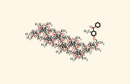 Cc1cc(OC[Si](C)(C)O[Si](C)(C)O[Si](C)(C)O[Si](C)(C)O[Si](C)(C)O[Si](C)(C)O[Si](C)(C)O[Si](C)(C)O[Si](C)(C)O[Si](C)(C)O[Si](C)(C)O[Si](C)(C)O[Si](C)(C)O[Si](C)(C)O[Si](C)(C)O[Si](C)(C)O[Si](C)(C)O[Si](C)(C)O[Si](C)(C)O[Si](C)(C)O[Si](C)(C)O[Si](C)(C)O[Si](C)(C)O[Si](C)(C)O[Si](C)(C)O[Si](C)(C)O[Si](C)(C)O[Si](C)(C)O[Si](C)(C)O[Si](C)(C)O[Si](C)(C)C)ccc1C(=O)c1ccccc1